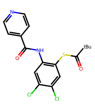 CC(C)(C)C(=O)Sc1cc(Cl)c(Cl)cc1NC(=O)c1ccncc1